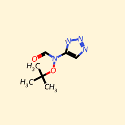 CC(C)(C)ON(C=O)C1=CN=N[N]1